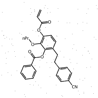 C=CC(=O)Oc1ccc(CCc2ccc(C#N)cc2)c(OC(=O)c2ccccc2)c1OCCC